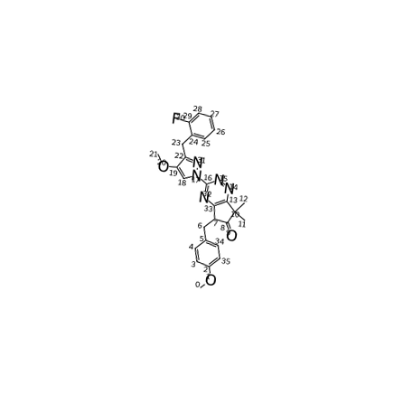 COc1ccc(CC2C(=O)C(C)(C)c3nnc(-n4cc(OC)c(Cc5ccccc5F)n4)nc32)cc1